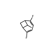 CC1C2CC1C(F)=CC=C2F